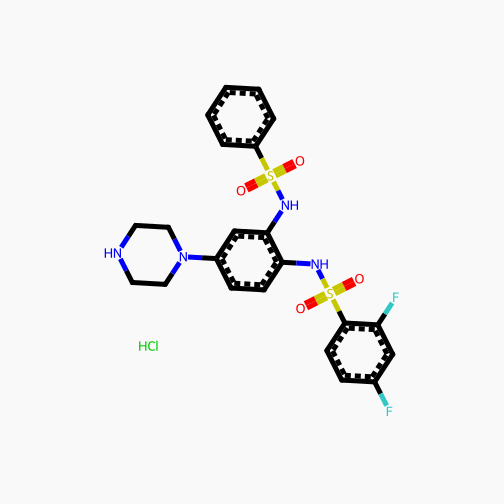 Cl.O=S(=O)(Nc1cc(N2CCNCC2)ccc1NS(=O)(=O)c1ccc(F)cc1F)c1ccccc1